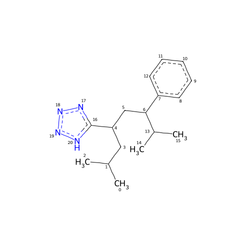 CC(C)CC(CC(c1ccccc1)C(C)C)c1nnn[nH]1